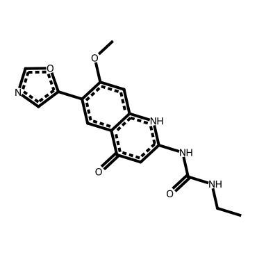 CCNC(=O)Nc1cc(=O)c2cc(-c3cnco3)c(OC)cc2[nH]1